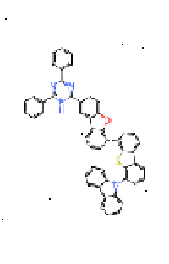 C1=c2oc3c(-c4cccc5c4sc4c(-n6c7ccccc7c7ccccc76)cccc45)cccc3c2=CC(C2N=C(c3ccccc3)N=C(c3ccccc3)N2)C1